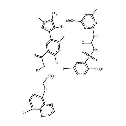 CC(C)OC(=O)c1cc(-c2nn(C)c(C(F)(F)F)c2Br)c(F)cc1Cl.COc1nc(C)nc(NC(=O)NS(=O)(=O)c2cc(I)ccc2C(=O)O)n1.O=C(O)COc1ccc(Cl)c2cccnc12